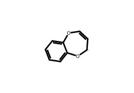 [CH]1C=COc2ccccc2O1